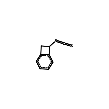 S=C=NC1Cc2ccccc21